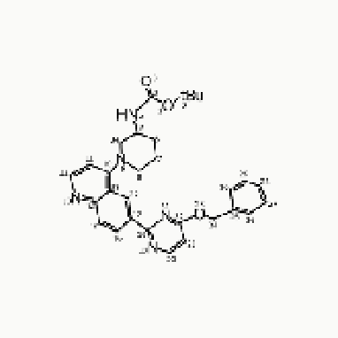 CC(C)(C)OC(=O)NC1CCCN(c2ccnc3ccc(-c4nccc(OCc5ccccc5)n4)cc23)C1